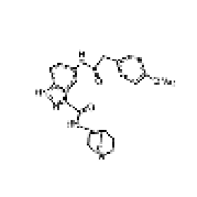 COc1ccc(CC(=O)Nc2ccc3[nH]nc(C(=O)NC4CN5CCC4CC5)c3c2)cc1